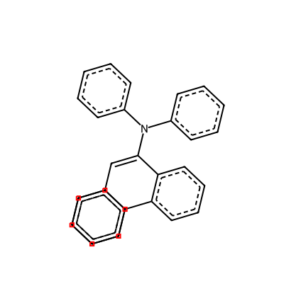 C(=C(/c1ccccc1-c1ccccc1)N(c1ccccc1)c1ccccc1)/c1ccccc1